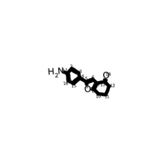 Nc1ccc(-c2cc3c(o2)CCCC3=O)cc1